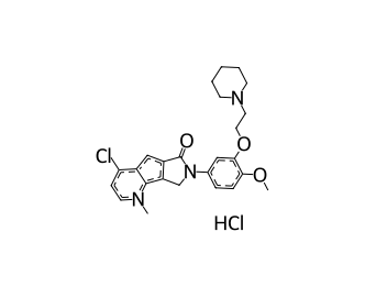 COc1ccc(N2Cc3c(cc4c(Cl)ccn(C)c3-4)C2=O)cc1OCCN1CCCCC1.Cl